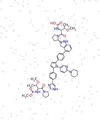 COC(=O)N[C@H](C(=O)N1CCC[C@H]1c1nc(-c2ccc(-c3ccc(-c4ccc(-c5cccc6c5CN([C@H]5CCCN5C(=O)[C@@H](NC(=O)O)[C@@H](C)OC)N6)cc4)n3-c3ccc(N4CCCCC4)nc3)cc2)c[nH]1)[C@@H](C)OC